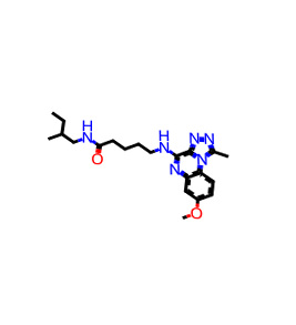 CCC(C)CNC(=O)CCCCNc1nc2cc(OC)ccc2n2c(C)nnc12